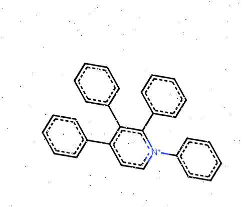 c1ccc(-c2cc[n+](-c3ccccc3)c(-c3ccccc3)c2-c2ccccc2)cc1